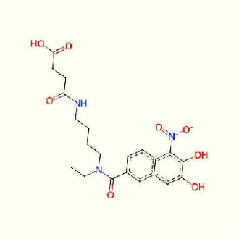 CCN(CCCCNC(=O)CCC(=O)O)C(=O)c1ccc2c([N+](=O)[O-])c(O)c(O)cc2c1